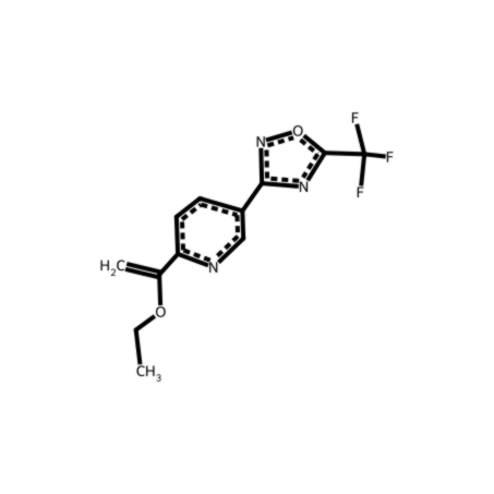 C=C(OCC)c1ccc(-c2noc(C(F)(F)F)n2)cn1